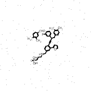 Cc1ccc(C=O)cc1C.Cc1ccc(CC(C#Cc2ccc(CNCCCP(=O)(O)O)cc2-c2ccco2)c2cccc(F)c2)cc1C